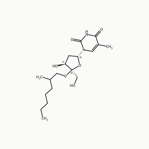 CCCCCC(C)CO[C@]1(CO)O[C@@H](n2cc(C)c(=O)[nH]c2=O)C[C@@H]1O